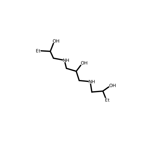 CCC(O)CNCC(O)CNCC(O)CC